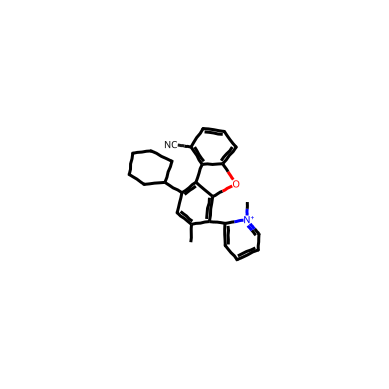 Cc1cc(C2CCCCC2)c2c(oc3cccc(C#N)c32)c1-c1cccc[n+]1C